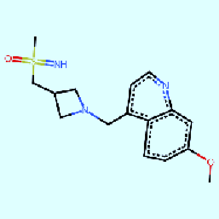 COc1ccc2c(CN3CC(CS(C)(=N)=O)C3)ccnc2c1